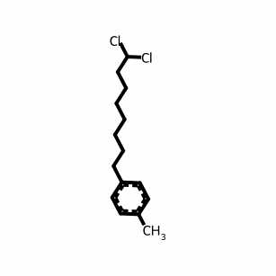 Cc1ccc(CCCCCCCC(Cl)Cl)cc1